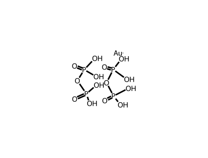 O=P(O)(O)OP(=O)(O)O.O=P(O)(O)OP(=O)(O)O.[Au]